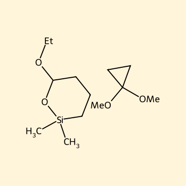 CCOC1CCC[Si](C)(C)O1.COC1(OC)CC1